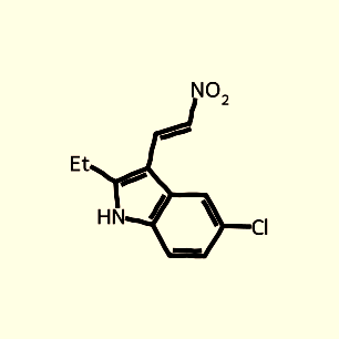 CCc1[nH]c2ccc(Cl)cc2c1C=C[N+](=O)[O-]